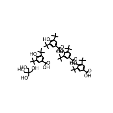 CC(C)(C)c1cc(C(=O)O)cc(C(C)(C)C)c1O.CC(C)(C)c1cc(C(=O)O)cc(C(C)(C)C)c1O.CC(C)(C)c1cc(C(=O)O)cc(C(C)(C)C)c1O.CC(C)(C)c1cc(C(=O)O)cc(C(C)(C)C)c1O.OCC(CO)(CO)CO